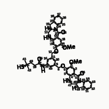 COc1cc2c(cc1OCc1cc(COc3cc4c(cc3OC)C(=O)N3c5ccccc5C[C@H]3CN4)cc(NC(=O)CCC(C)(C)S)c1)NC[C@@H]1Cc3ccccc3N1C2=O